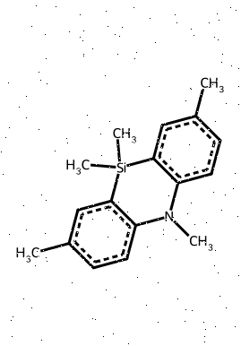 Cc1ccc2c(c1)[Si](C)(C)c1cc(C)ccc1N2C